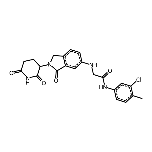 Cc1ccc(NC(=O)CNc2ccc3c(c2)C(=O)N(C2CCC(=O)NC2=O)C3)cc1Cl